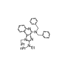 CCCN(CC)c1nc2c(N(Cc3ccccc3)Cc3ccccc3)nc3ccccc3c2n1CC(C)C